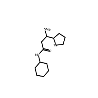 CSC(CC(=O)NC1CCCCC1)C1CCCN1